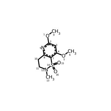 COc1cc(OC)c2c(n1)CCN(C)S2(=O)=O